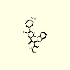 CCCCNC(=O)c1c(=O)c2cc(F)c(N3CCCN(C)CC3)nc2n2c1sc1ccccc12